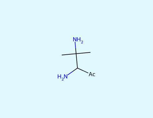 CC(=O)C(N)C(C)(C)N